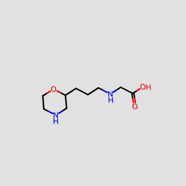 O=C(O)CNCCCC1CNCCO1